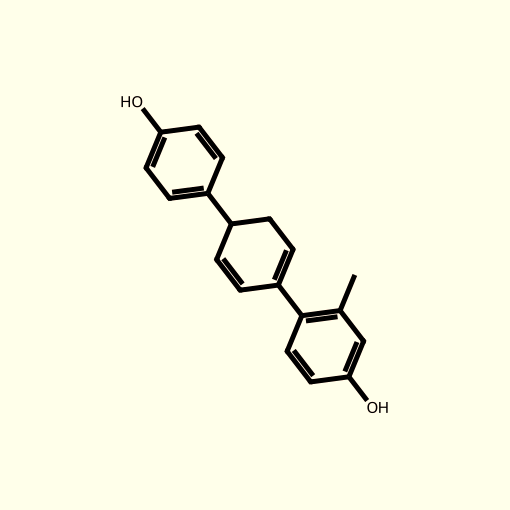 Cc1cc(O)ccc1C1=CCC(c2ccc(O)cc2)C=C1